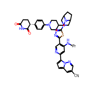 CC(C)Nc1cc(-c2ccc3cc(C#N)cnn23)ncc1-c1nnc(N2CC3CCC(C2)N3CC2CCN(c3ccc([C@H]4CCC(=O)NC4=O)cc3)CC2)s1